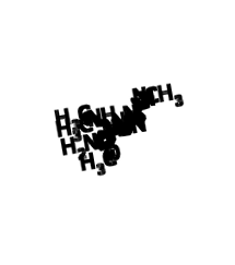 COc1cc(N)cc(N(CCNC(C)C)c2ccc3ncc(-c4cnn(C)c4)nc3n2)c1